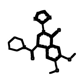 COc1cc2c(C(=O)N3CCCCC3)cn(-c3nccs3)c(=O)c2cc1OC